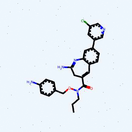 CCCN(OCc1ccc(N)cc1)C(=O)C1=Cc2ccc(-c3cncc(Cl)c3)cc2N=C(N)C1